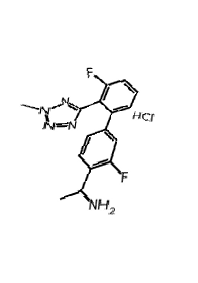 CC(N)c1ccc(-c2cccc(F)c2-c2nnn(C)n2)cc1F.Cl